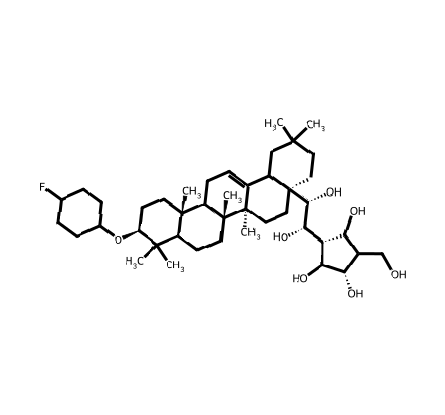 CC1(C)CC[C@]2([C@H](O)[C@@H](O)[C@@H]3C(O)C(CO)[C@H](O)C3O)CC[C@]3(C)C(=CCC4[C@@]5(C)CC[C@H](OC6CCC(F)CC6)C(C)(C)C5CC[C@]43C)C2C1